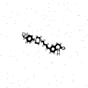 CSc1ccc(N2CCN(CCC=Cc3ccc4c(c3)CCC(=O)N4)CC2)cc1